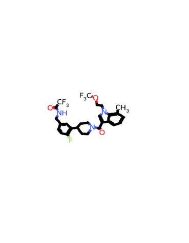 Cc1cccc2c(C(=O)N3CCC(c4cc(CNC(=O)C(F)(F)F)ccc4F)CC3)cn(CCOC(F)(F)F)c12